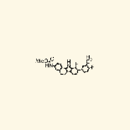 COC(=O)Nc1ccc2c(c1)CCc1c-2[nH]c2c(F)c(-c3ccc(F)c(C)c3)ccc12